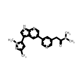 CN(C)C(=O)Cc1cncc(-c2cnc3[nH]cc(-c4cc(C(F)(F)F)nn4C)c3c2)c1